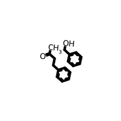 CC(=O)CCc1ccccc1.OCc1ccccc1